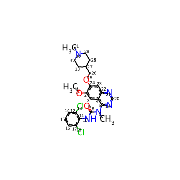 COc1cc2c(N(C)C(=O)Nc3c(Cl)cccc3Cl)ncnc2cc1OCC1CCN(C)CC1